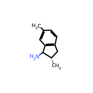 Cc1ccc2c(c1)C(N)[C@@H](C)C2